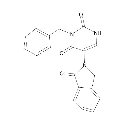 O=C1c2ccccc2CN1c1c[nH]c(=O)n(Cc2ccccc2)c1=O